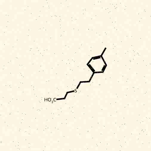 Cc1ccc(CCSCCC(=O)O)cc1